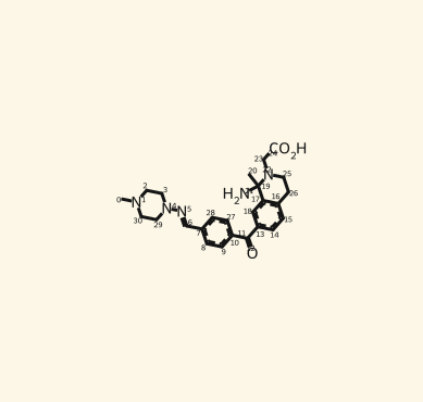 CN1CCN(N=Cc2ccc(C(=O)c3ccc4c(c3)C(C)(N)N(CC(=O)O)CC4)cc2)CC1